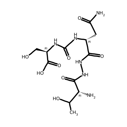 CC(O)[C@@H](N)C(=O)NNC(=O)[C@@H](CC(N)=O)NC(=O)N[C@H](CO)C(=O)O